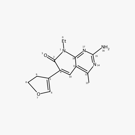 CCn1c(=O)c(C2=COCC2)cc2c(C)nc(N)nc21